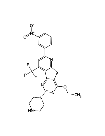 CCOc1nc(N2CCNCC2)nc2c1sc1nc(-c3cccc([N+](=O)[O-])c3)cc(C(F)(F)F)c12